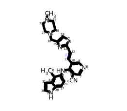 Cc1c(Nc2c(C#N)cncc2/C=C/c2nc(CN3CCN(C)CC3)cs2)ccc2[nH]ccc12